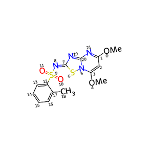 COc1cc(OC)n2s/c(=N\S(=O)(=O)c3ccccc3C)nc2n1